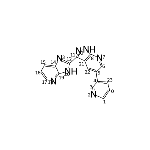 c1cncc(-c2cnc3[nH]nc(-c4nc5cccnc5[nH]4)c3c2)c1